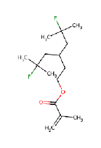 C=C(C)C(=O)OCCC(CC(C)(C)F)CC(C)(C)F